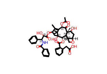 CC(=O)O[C@H]1C(=O)[C@@]2(C)[C@@H]([C@@H]3CO[C@@H]3C[C@@H]2O)[C@H](OC(=O)c2ccccc2CC(=O)O)[C@]2(O)CC(OC(=O)[C@H](O)[C@@H](NC(=O)c3ccccc3)c3ccccc3)C(C)=C1C2(C)C